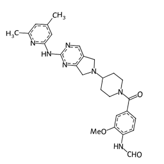 COc1cc(C(=O)N2CCC(N3Cc4cnc(Nc5cc(C)cc(C)n5)nc4C3)CC2)ccc1NC=O